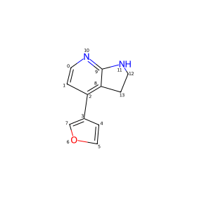 c1cc(-c2ccoc2)c2c(n1)NCC2